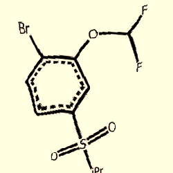 CC(C)S(=O)(=O)c1ccc(Br)c(OC(F)F)c1